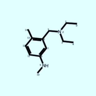 CCN(CC)Cc1cc(NC)ccc1C